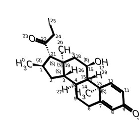 C[C@@H]1C[C@H]2[C@@H]3CCC4=CC(=O)C=C[C@]4(C)[C@H]3[C@H](O)C[C@]2(C)[C@H]1C(=O)CI